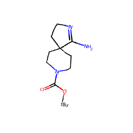 CC(C)(C)OC(=O)N1CCC2(CCN=C2N)CC1